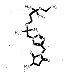 CCOC(C)(C)CCOC(C)(C)Cn1cc(CN2C(=O)CC(C)C2=O)nn1